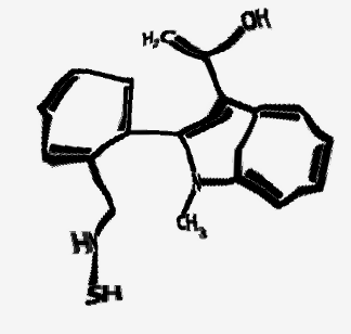 C=C(O)c1c(-c2ccccc2CNS)n(C)c2ccccc12